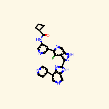 O=C(Nc1cncc(-c2ncc3[nH]nc(-c4nc5c(-c6ccncc6)cncc5[nH]4)c3c2F)c1)C1CCC1